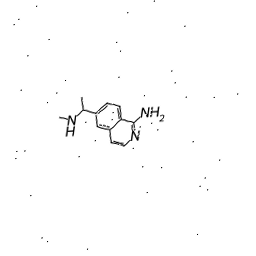 CNC(C)c1ccc2c(N)nccc2c1